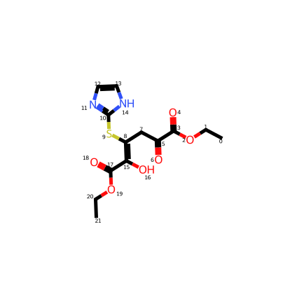 CCOC(=O)C(=O)CC(Sc1ncc[nH]1)=C(O)C(=O)OCC